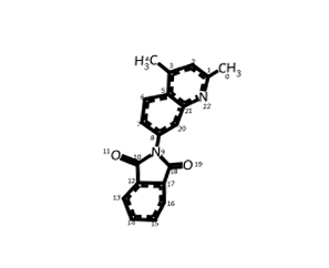 Cc1cc(C)c2ccc(N3C(=O)c4ccccc4C3=O)cc2n1